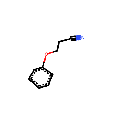 N#CCCOc1[c]cccc1